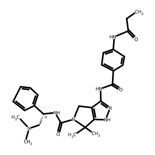 CCC(=O)Nc1ccc(C(=O)Nc2n[nH]c3c2CN(C(=O)N[C@H](CN(C)C)c2ccccc2)C3(C)C)cc1